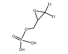 CCC1(CC)OC1COP(=O)(O)O